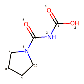 O=C(O)NC(=O)N1CCCC1